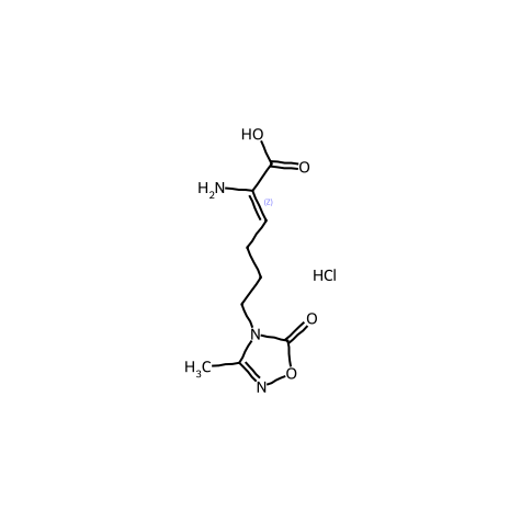 Cc1noc(=O)n1CCC/C=C(\N)C(=O)O.Cl